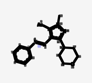 CC(=O)c1c(/N=N/c2ccccc2)c(C2CCOCC2)nn1C